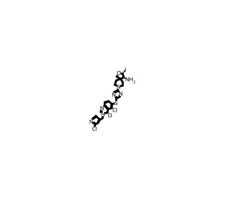 N[C@@H]1[C@H](I)OCC12CCN(c1cnc(Sc3ccc4ncn(Cc5ccnc(Cl)c5)c(=O)c4c3Cl)cn1)CC2